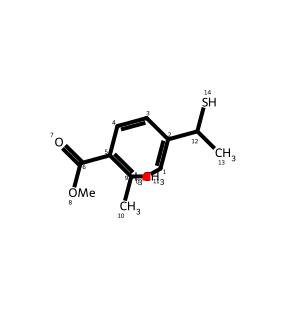 C/C=C(\C=C/C(C(=O)OC)=C(C)C)C(C)S